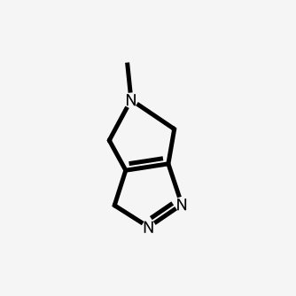 CN1CC2=C(C1)N=NC2